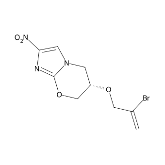 C=C(Br)CO[C@@H]1COc2nc([N+](=O)[O-])cn2C1